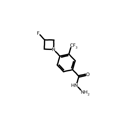 NNC(=O)c1ccc(N2CC(F)C2)c(C(F)(F)F)c1